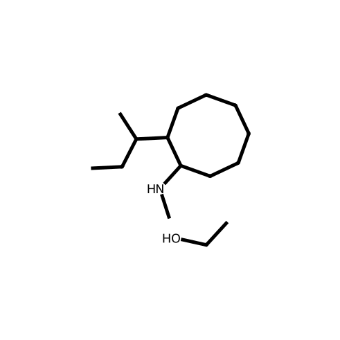 CCC(C)C1CCCCCCC1NC.CCO